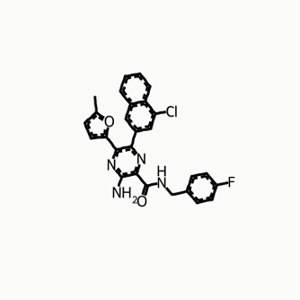 Cc1ccc(-c2nc(N)c(C(=O)NCc3ccc(F)cc3)nc2-c2cc(Cl)c3ccccc3c2)o1